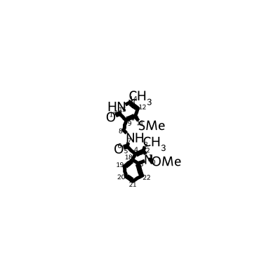 COn1c(C)c(C(=O)NCc2c(SC)cc(C)[nH]c2=O)c2ccccc21